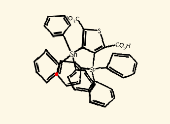 O=C(O)c1sc(C(=O)O)[c]([Sn]([c]2ccccc2)([c]2ccccc2)[c]2ccccc2)[c]1[Sn]([c]1ccccc1)([c]1ccccc1)[c]1ccccc1